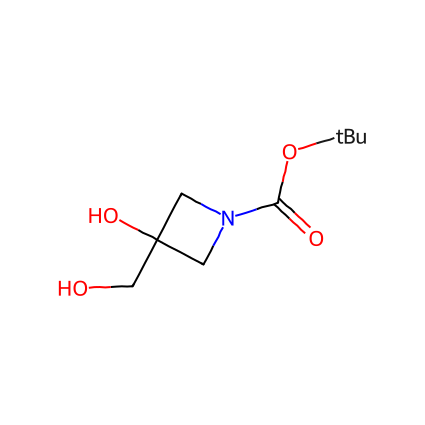 CC(C)(C)OC(=O)N1CC(O)(CO)C1